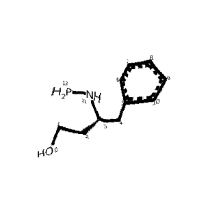 OCC[C@H](Cc1ccccc1)NP